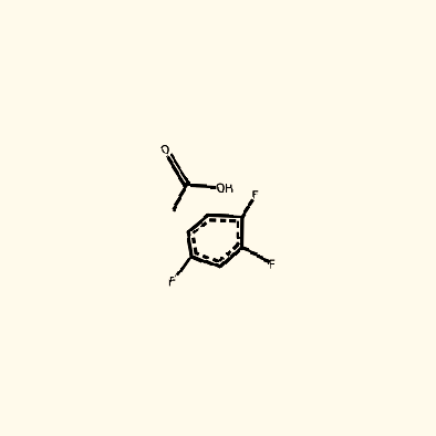 CC(=O)O.Fc1ccc(F)c(F)c1